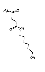 NC(=O)CCC(=O)NCCCCCCO